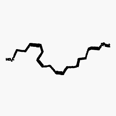 CCCCC/C=C/C/C=C/C/C=C\C/C=C\C/C=C\CCC(=O)O